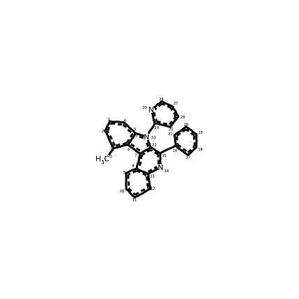 Cc1cccc2c1c1c3ccccc3nc(-c3ccccc3)c1n2-c1ccccn1